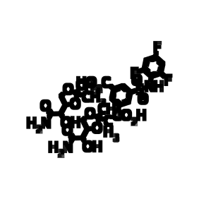 CC1(C)OCC(C(O)C(N)=O)O1.CC1(C)OCC(C(O)C(N)=O)O1.O=C(O)c1cc(C(=O)O)cc(S(=O)(=O)Nc2c(F)cc(F)cc2F)c1